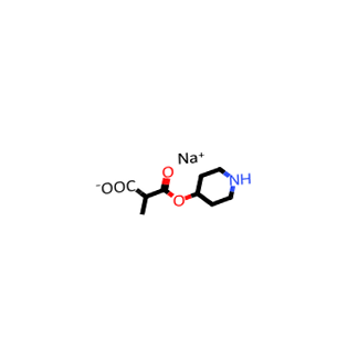 CC(C(=O)[O-])C(=O)OC1CCNCC1.[Na+]